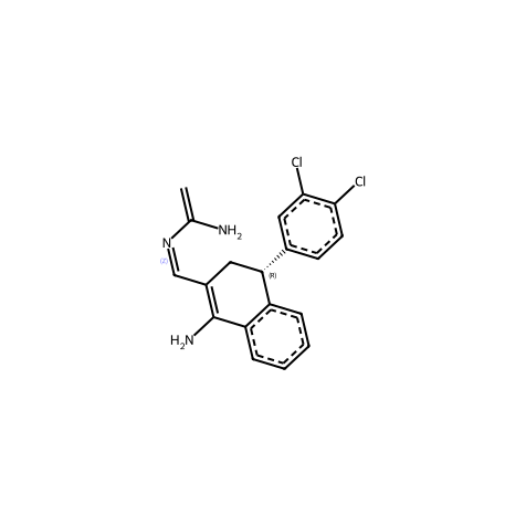 C=C(N)/N=C\C1=C(N)c2ccccc2[C@@H](c2ccc(Cl)c(Cl)c2)C1